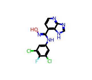 O/N=C(/Nc1cc(Cl)c(F)c(Cl)c1)c1ccnc2nc[nH]c12